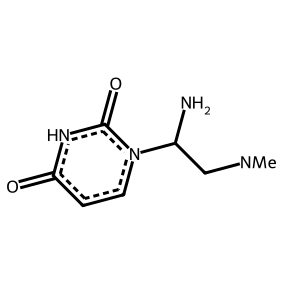 CNCC(N)n1ccc(=O)[nH]c1=O